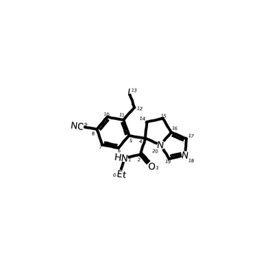 CCNC(=O)C1(c2ccc(C#N)cc2CI)CCc2cncn21